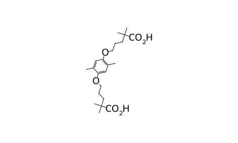 Cc1cc(OCCCC(C)(C)C(=O)O)c(C)cc1OCCCC(C)(C)C(=O)O